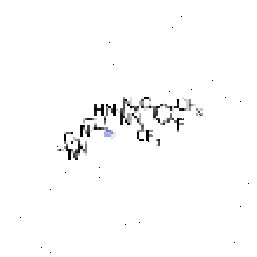 C/C=C1/C(Nc2nc(Oc3ccc(F)c(C(F)(F)F)c3)n(CC(F)(F)F)n2)C2CN(c3nnc(C)o3)C12